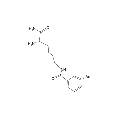 CC(=O)c1cccc(C(=O)NCCCC[C@H](N)C(N)=O)c1